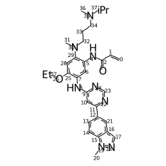 C=CC(=O)Nc1cc(Nc2cc(-c3ccc4c(cnn4C)c3)ncn2)c(OCC)cc1N(C)CCCN(C)C(C)C